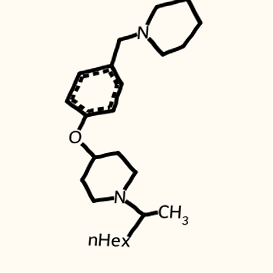 CCCCCCC(C)N1CCC(Oc2ccc(CN3CCCCC3)cc2)CC1